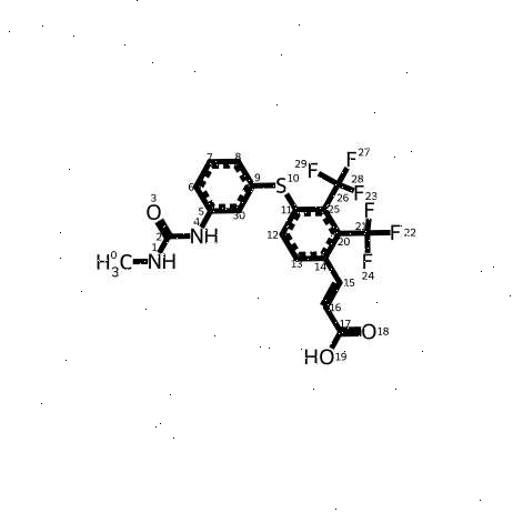 CNC(=O)Nc1cccc(Sc2ccc(C=CC(=O)O)c(C(F)(F)F)c2C(F)(F)F)c1